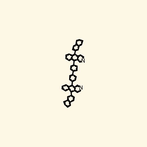 c1ccc2cc(-c3c4ccccc4c(-c4ccc(-c5ccc(-c6c7ccccc7c(-c7ccc8ccccc8c7)c7ccncc67)cc5)cc4)c4cnccc34)ccc2c1